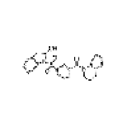 CC1Cc2ccccc2N1S(=O)(=O)c1cccc(C(=O)N2CCCc3ccccc32)c1